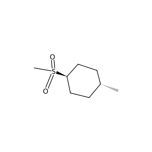 CS(=O)(=O)[C@H]1CC[C@H](C)CC1